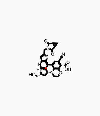 N#Cc1cc2c(c(-c3ccnc4cc(CN5C(=O)C6CC6C5=O)sc34)c1)N([C@@H]1CN[C@@H](CO)C1)CCO2.O=CO